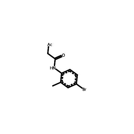 CC(=O)CC(=O)Nc1ccc(Br)cc1C